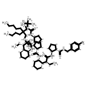 CCCCCC(CC)(CCCC)COC(C)(N[C@H]1CCC[C@@H]1C(=O)N[C@H]1CCCC[C@H]1[C@H](CC)C(=O)N[C@H]1CCC[C@@H]1C(=O)OCc1ccc(Br)cc1)[C@@H](CC)[C@@H]1CCCC[C@@H]1NC(=O)[C@H]1CCC[C@@H]1NC(=O)OC(C)(C)C